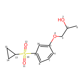 CC(O)COc1cccc(S(=O)(=O)C2CC2)c1